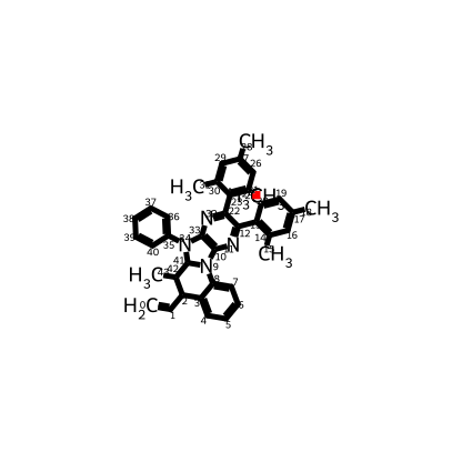 C=CC1c2ccccc2N2c3nc(-c4c(C)cc(C)cc4C)c(-c4c(C)cc(C)cc4C)nc3N(c3ccccc3)C2C1C